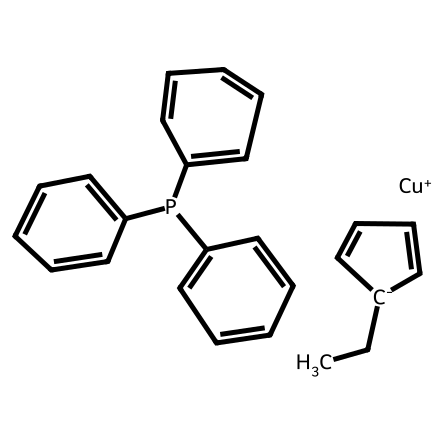 CC[c-]1cccc1.[Cu+].c1ccc(P(c2ccccc2)c2ccccc2)cc1